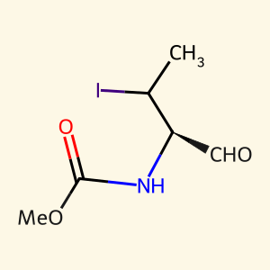 COC(=O)N[C@H](C=O)C(C)I